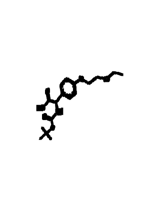 CCOCCOc1ccc([C@@H](NC(=O)OC(C)(C)C)C(=O)O)cc1